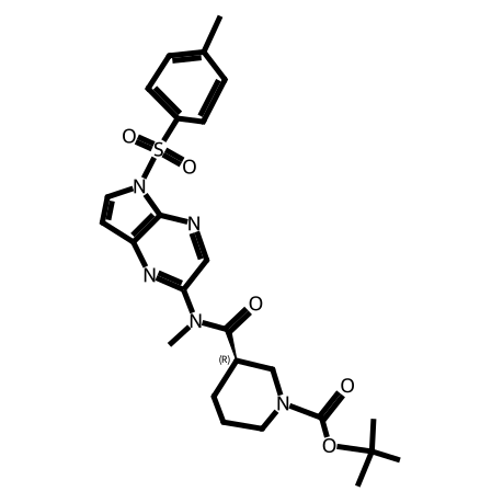 Cc1ccc(S(=O)(=O)n2ccc3nc(N(C)C(=O)[C@@H]4CCCN(C(=O)OC(C)(C)C)C4)cnc32)cc1